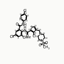 COc1cc(Cl)cc(C(=O)Nc2ccc(Cl)cn2)c1NC(=O)c1scc(CN2CCN(S(C)(=O)=O)CC2)c1Cl